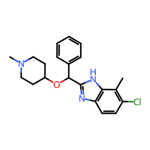 Cc1c(Cl)ccc2nc(C(OC3CCN(C)CC3)c3ccccc3)[nH]c12